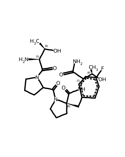 C[C@@H](O)[C@H](N)C(=O)N1CCCC1C(=O)N1CCC[C@@]1(Cc1ccc(F)cc1)C(=O)N[C@H](C(N)=O)[C@@H](C)O